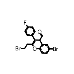 O=CC1C(c2ccc(F)cc2)=C(CCBr)Oc2ccc(Br)cc21